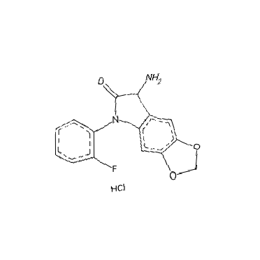 Cl.NC1C(=O)N(c2ccccc2F)c2cc3c(cc21)OCO3